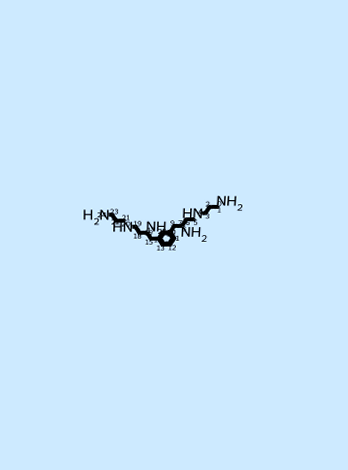 NCCCNCCC(N)Cc1cccc(CC(N)CCNCCCN)c1